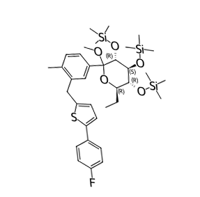 CC[C@H]1OC(OC)(c2ccc(C)c(Cc3ccc(-c4ccc(F)cc4)s3)c2)[C@H](O[Si](C)(C)C)[C@@H](O[Si](C)(C)C)[C@@H]1O[Si](C)(C)C